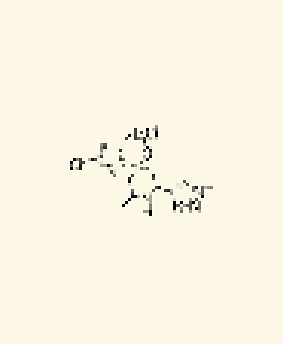 CC1CC2(CC(c3cn(C)nn3)N1)OCCc1cc(Cl)sc12.Cl